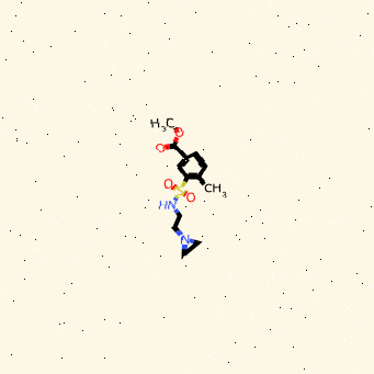 COC(=O)c1ccc(C)c(S(=O)(=O)NCCN2CC2)c1